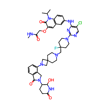 CNC(=O)COc1cc2cc(Nc3nc(N4CCC(F)(CN5CCC6(CC5)CN(c5cccc7c5CN(C5CCC(=O)NC5O)C7=O)C6)CC4)ncc3Cl)ccc2n(C(C)C)c1=O